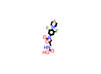 O=C(O)NCC1CN(c2cc(F)c(N3C=CSCC3)c(F)c2)C(=O)O1